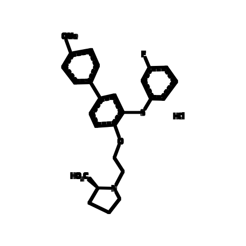 COc1ccc(-c2ccc(OCCN3CCC[C@H]3C(=O)O)c(Sc3cccc(F)c3)c2)cc1.Cl